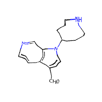 O=Cc1cn(C2CCNCC2)c2cnccc12